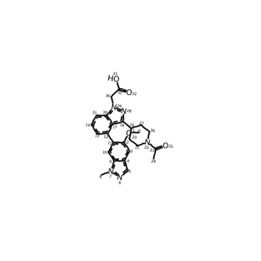 COc1cc2cnn(C)c2cc1-c1cccc2c1c(C1CCN(C(C)=O)CC1)nn2CC(=O)O